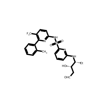 CC[C@@H](Nc1cccc(S(=O)(=O)Nc2ccc(C(F)(F)F)c(-c3ccccc3C)n2)n1)[C@@H](O)CC=O